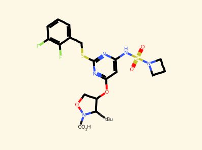 CC(C)(C)C1C(Oc2cc(NS(=O)(=O)N3CCC3)nc(SCc3cccc(F)c3F)n2)CON1C(=O)O